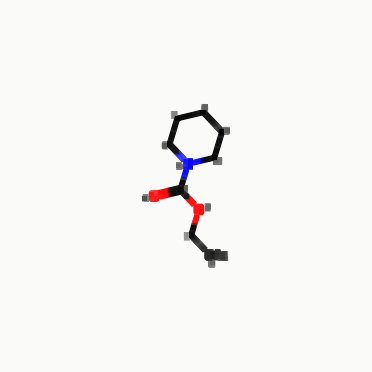 CC(=O)OCOC(=O)N1CCCCC1